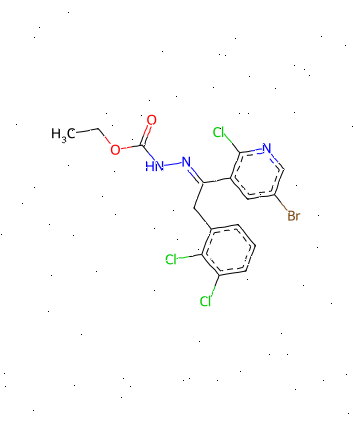 CCOC(=O)N/N=C(\Cc1cccc(Cl)c1Cl)c1cc(Br)cnc1Cl